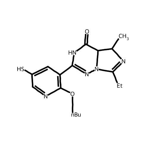 CCCCOc1ncc(S)cc1C1=NN2C(CC)=NC(C)C2C(=O)N1